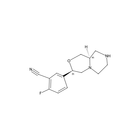 N#Cc1cc([C@@H]2CN3CCNC[C@@H]3CO2)ccc1F